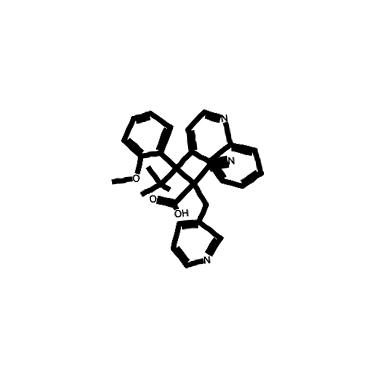 COc1ccccc1C(c1ccnc2ccccc12)(C(C)(C)C)C(C#N)(Cc1cccnc1)C(=O)O